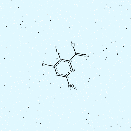 O=C(Cl)c1cc([N+](=O)[O-])cc(Cl)c1F